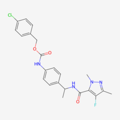 Cc1nn(C)c(C(=O)NC(C)c2ccc(NC(=O)OCc3ccc(Cl)cc3)cc2)c1F